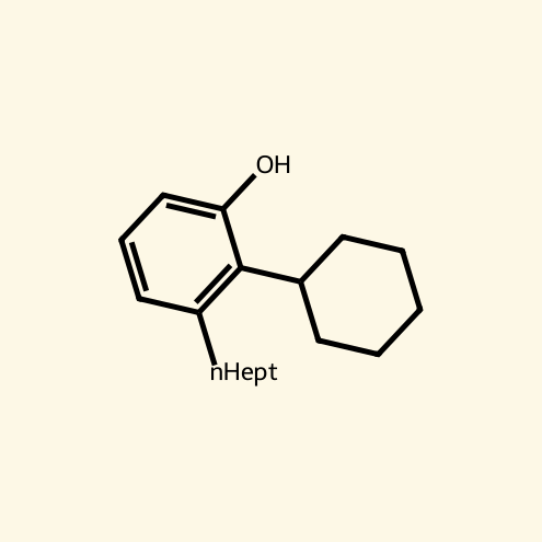 CCCCCCCc1cccc(O)c1C1CCCCC1